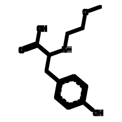 COCCNC(Cc1ccc(O)cc1)C(=O)O